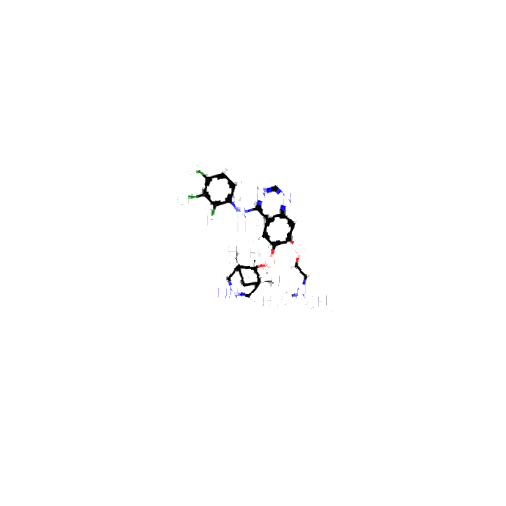 CN(C)CCOc1cc2ncnc(Nc3ccc(Cl)c(Cl)c3F)c2cc1O[C@@H]1[C@@H]2CNC[C@H]1C2